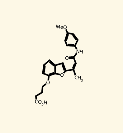 COc1ccc(NC(=O)/C=C(/C)c2cc3cccc(OCCCC(=O)O)c3o2)cc1